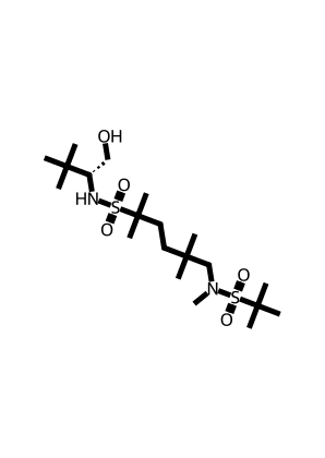 CN(CC(C)(C)CCC(C)(C)S(=O)(=O)N[C@@H](CO)C(C)(C)C)S(=O)(=O)C(C)(C)C